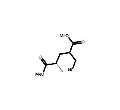 COC(=O)C(CC#N)C[C@H](C)C(=O)OC